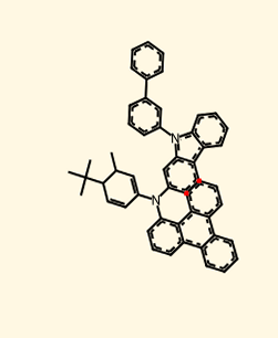 CC1C=C(N(c2ccc3c4ccccc4n(-c4cccc(-c5ccccc5)c4)c3c2)c2cccc3c4ccccc4c4ccccc4c23)C=CC1C(C)(C)C